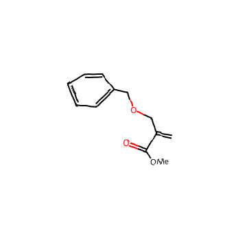 C=C(COCc1ccccc1)C(=O)OC